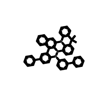 CC1(C)c2ccccc2N2c3cc4ccccc4c4c3B(c3cccc1c32)N(c1cccc(-c2ccccc2)c1)c1ccc(-c2ccccc2)cc1-4